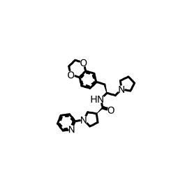 O=C(N[C@@H](Cc1ccc2c(c1)OCCO2)CN1CCCC1)[C@H]1CCN(c2ccccn2)C1